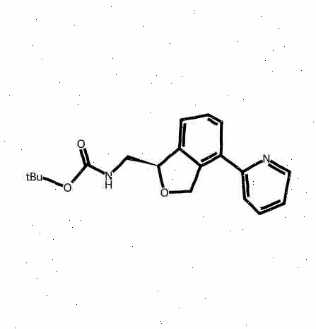 CC(C)(C)OC(=O)NC[C@@H]1OCc2c(-c3ccccn3)cccc21